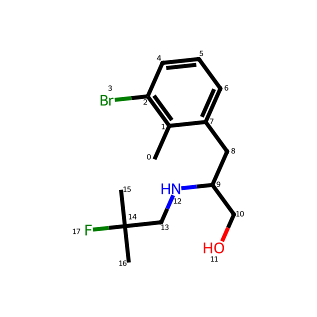 Cc1c(Br)cccc1CC(CO)NCC(C)(C)F